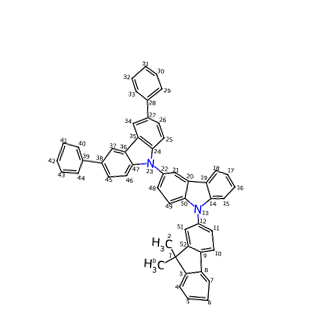 CC1(C)c2ccccc2-c2ccc(-n3c4ccccc4c4cc(-n5c6ccc(-c7ccccc7)cc6c6cc(-c7ccccc7)ccc65)ccc43)cc21